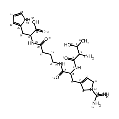 CC(O)C(N)C(=O)NC(CC1=CCN(C(=N)N)C1)C(=O)NCCCC(=O)NC(Cc1ccc[nH]1)C(=O)O